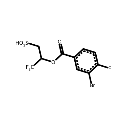 O=C(OC(CS(=O)(=O)O)C(F)(F)F)c1ccc(F)c(Br)c1